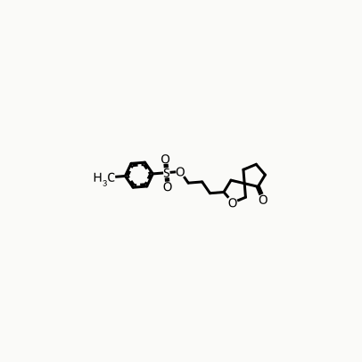 Cc1ccc(S(=O)(=O)OCCCC2CC3(CCCC3=O)CO2)cc1